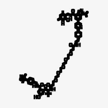 Cc1cc(C)c(CNC(=O)c2cc(-c3ccc(N4CCN(CCNC(=O)CCOCCOCCOCCOCCOCCC(=O)N[C@H](C(=O)N5C[C@H](O)C[C@H]5C(=O)NCc5ccc(-c6scnc6C)cc5)C(C)(C)C)CC4)nc3)cc3c2cnn3C(C)C)c(=O)[nH]1